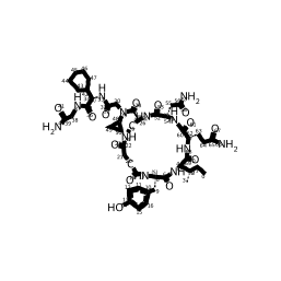 CC[C@H](C)[C@@H]1NC(=O)[C@H](Cc2ccc(O)cc2)NC(=O)CCC(=O)NC[C@@H](C(=O)N(CC(=O)N[C@H](C(=O)NCC(N)=O)C2CCCCC2)C2CC2)NC(=O)[C@H](CC(N)=O)NC(=O)[C@H](CCC(N)=O)NC1=O